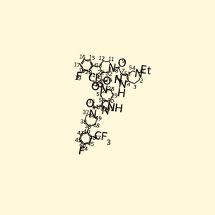 CCN1CCc2[nH]nc(C(=O)N3CCC(c4cccc(F)c4Cl)C(CS(=O)(=O)N4CCc5[nH]nc(C(=O)N6CCC(c7ccc(F)cc7C(F)(F)F)CC6)c5C4)C3)c2C1